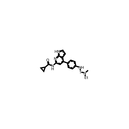 CCN(C)SNc1ccc(-c2cc(NC(=O)C3CC3)nc3[nH]ccc23)cc1